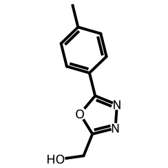 Cc1ccc(-c2nnc(CO)o2)cc1